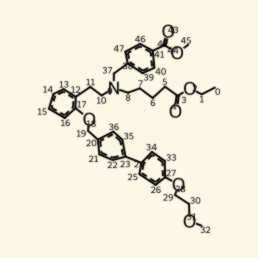 CCOC(=O)CCCCN(CCc1ccccc1OCc1ccc(-c2ccc(OCCOC)cc2)cc1)Cc1ccc(C(=O)OC)cc1